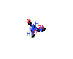 COc1ccc(CN2CCc3c(NC4=CC=CN(c5ccc(C)cn5)C4O)nn4c(C(=O)N[C@@H]5C[C@@H]5F)cnc4c32)cc1